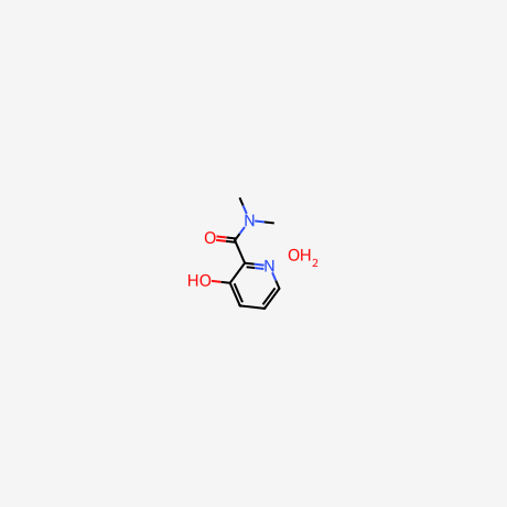 CN(C)C(=O)c1ncccc1O.O